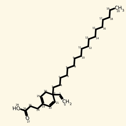 C=CC1(CCCCCCCCCCCCCCCCCC)C=CC(CCC(=O)O)=CC1